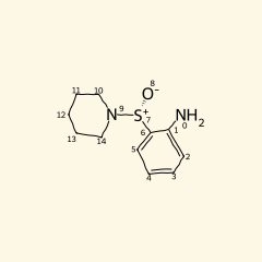 Nc1ccccc1[S@@+]([O-])N1CCCCC1